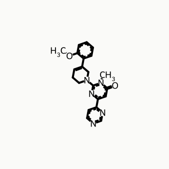 COc1ccccc1C1=CCCN(c2nc(-c3ccncn3)cc(=O)n2C)C1